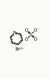 O=S(=O)([O-])[O-].[Br+2].c1ccncc1